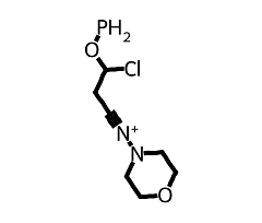 POC(Cl)CC#[N+]N1CCOCC1